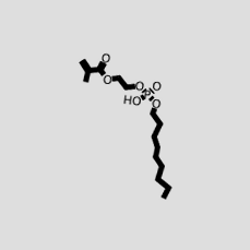 C=C(C)C(=O)OCCOP(=O)(O)OCCCCCCCCC